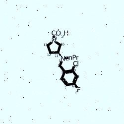 CCCN(Cc1ccc(F)cc1Cl)[C@H]1CCN(C(=O)O)C1